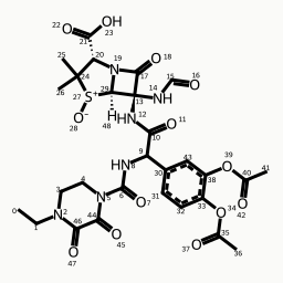 CCN1CCN(C(=O)NC(C(=O)N[C@]2(NC=O)C(=O)N3[C@@H](C(=O)O)C(C)(C)[S+]([O-])[C@@H]32)c2ccc(OC(C)=O)c(OC(C)=O)c2)C(=O)C1=O